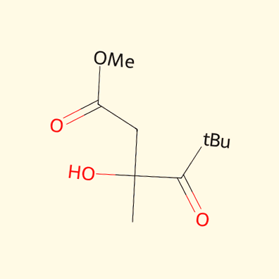 COC(=O)CC(C)(O)C(=O)C(C)(C)C